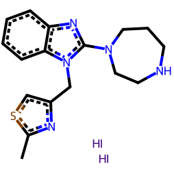 Cc1nc(Cn2c(N3CCCNCC3)nc3ccccc32)cs1.I.I